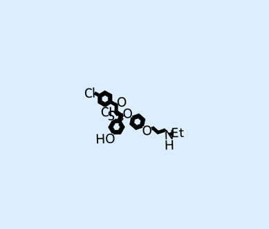 CCNCCCOc1ccc(Oc2c(C(=O)c3ccc(Cl)cc3C)sc3cc(O)ccc23)cc1